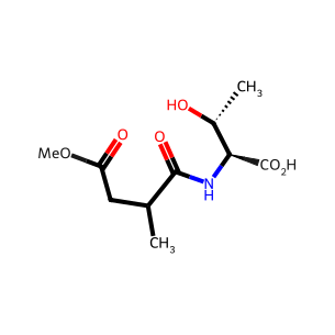 COC(=O)CC(C)C(=O)N[C@H](C(=O)O)[C@@H](C)O